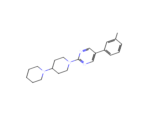 FC(F)(F)c1cccc(-c2cnc(N3CCC(N4CCCCC4)CC3)nc2)c1